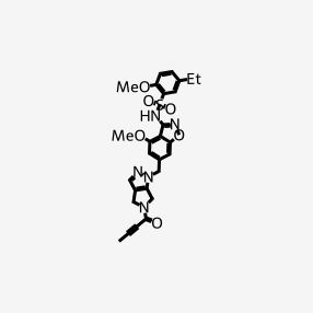 CC#CC(=O)N1Cc2cnn(Cc3cc(OC)c4c(NS(=O)(=O)c5cc(CC)ccc5OC)noc4c3)c2C1